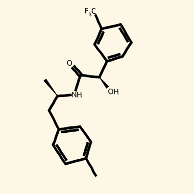 Cc1ccc(C[C@@H](C)NC(=O)[C@H](O)c2cccc(C(F)(F)F)c2)cc1